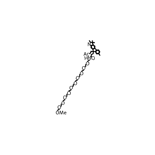 COCCOCCOCCOCCOCCOCCOCCOCCOCCOCCOCCNC(=O)CCC1(CCC(C)=O)c2cc(C)ccc2-c2cc3c(cc21)N=C(C)C3(C)C